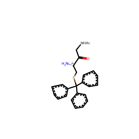 CC(=O)NCC(=O)[C@@H](N)CSC(c1ccccc1)(c1ccccc1)c1ccccc1